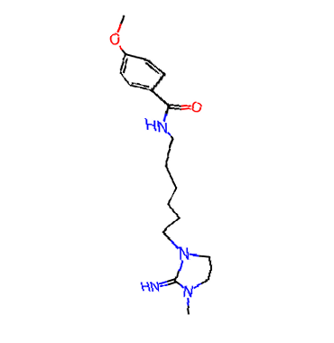 COc1ccc(C(=O)NCCCCCCN2CCN(C)C2=N)cc1